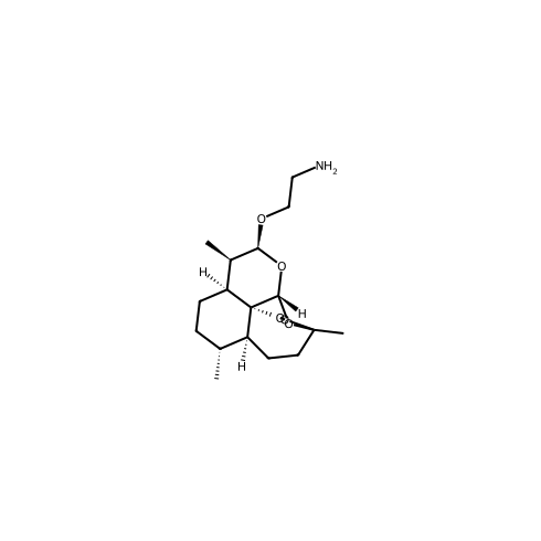 C[C@H]1[C@@H](OCCN)O[C@@H]2OC3(C)CC[C@H]4[C@H](C)CC[C@@H]1[C@@]24OO3